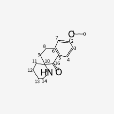 COc1ccc2c(c1)CCC1(CCCCN1)C2=O